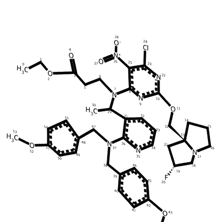 CCOC(=O)CCN(c1nc(OC[C@@]23CCCN2C[C@H](F)C3)nc(Cl)c1[N+](=O)[O-])C(C)c1cccnc1N(Cc1ccc(OC)cc1)Cc1ccc(OC)cc1